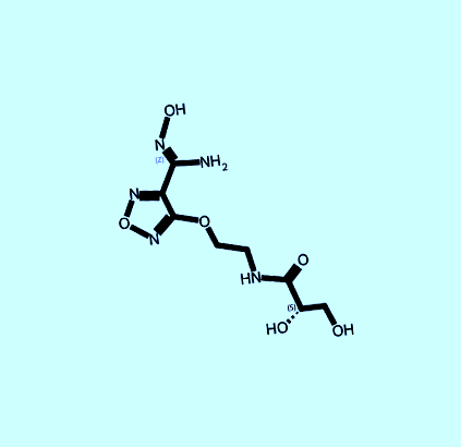 N/C(=N\O)c1nonc1OCCNC(=O)[C@@H](O)CO